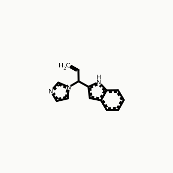 C=CC(c1cc2ccccc2[nH]1)n1ccnc1